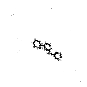 c1ncc(Nc2nccc(C3CCCCN3)n2)cn1